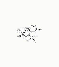 Cc1ccc(F)c2c1[C@H](NS(N)(=O)=O)C(F)(F)C2